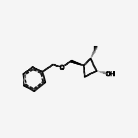 O[C@@H]1C[C@@H](COCc2ccccc2)[C@@H]1F